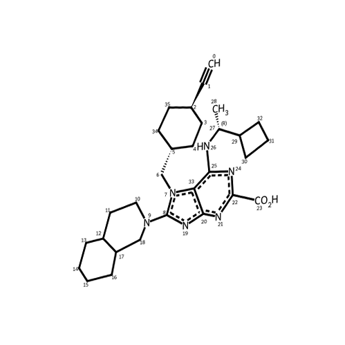 C#C[C@H]1CC[C@H](Cn2c(N3CCC4CCCCC4C3)nc3nc(C(=O)O)nc(N[C@H](C)C4CCC4)c32)CC1